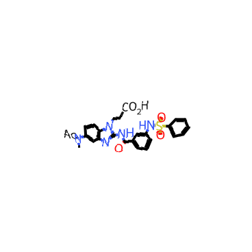 CC(=O)N(C)c1ccc2c(c1)nc(NC(=O)c1cccc(NS(=O)(=O)c3ccccc3)c1)n2CCC(=O)O